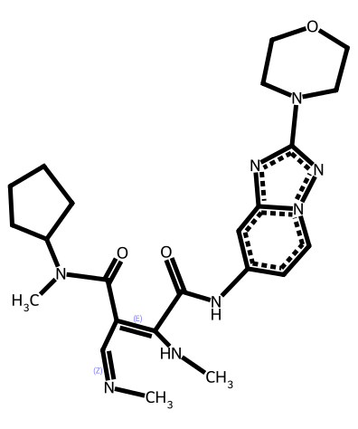 C/N=C\C(C(=O)N(C)C1CCCC1)=C(/NC)C(=O)Nc1ccn2nc(N3CCOCC3)nc2c1